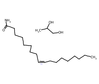 CC(O)CO.CCCCCCCC/C=C\CCCCCCCC(N)=O